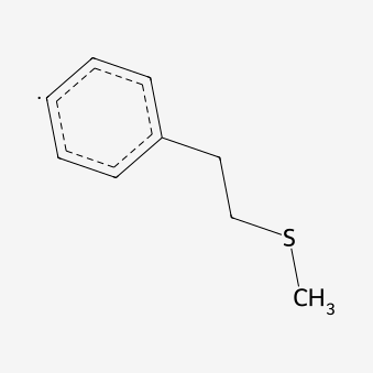 CSCCc1cc[c]cc1